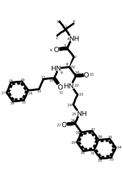 CC(C)(C)NC(=O)C[C@H](NC(=O)CCc1ccccc1)C(=O)NCCNC(=O)c1ccc2ccccc2c1